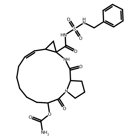 NC(=O)OC1CCCCCC=CC2CC2(C(=O)NS(=O)(=O)NCc2ccccc2)NC(=O)C2CCCN2C1=O